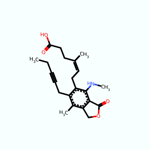 CCC#CCc1c(C)c2c(c(NC)c1CC=C(C)CCC(=O)O)C(=O)OC2